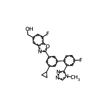 Cn1cnnc1-c1cc(F)ccc1-c1cc(-c2nc3cc(CO)cc(F)c3o2)cc(C2CC2)c1